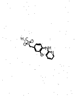 CS(=O)(=O)Cc1ccc(Nc2ccccn2)c(Br)c1